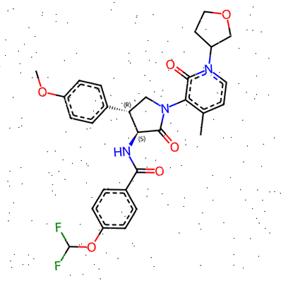 COc1ccc([C@@H]2CN(c3c(C)ccn(C4CCOC4)c3=O)C(=O)[C@H]2NC(=O)c2ccc(OC(F)F)cc2)cc1